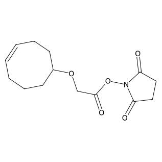 O=C(COC1CCC=CCCC1)ON1C(=O)CCC1=O